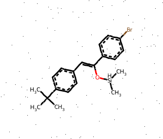 C[SiH](C)OC(=Cc1ccc(C(C)(C)C)cc1)c1ccc(Br)cc1